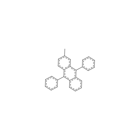 Cc1ccc2c(-c3ccccc3)c3ccccc3c(-c3ccccc3)c2c1